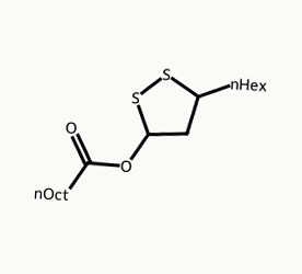 CCCCCCCCC(=O)OC1CC(CCCCCC)SS1